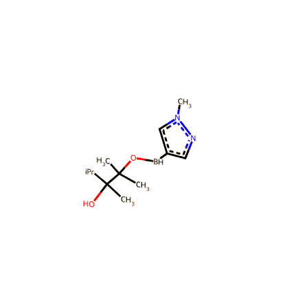 CC(C)C(C)(O)C(C)(C)OBc1cnn(C)c1